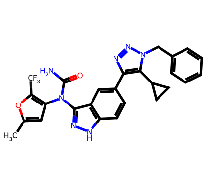 Cc1cc(N(C(N)=O)c2n[nH]c3ccc(-c4nnn(Cc5ccccc5)c4C4CC4)cc23)c(C(F)(F)F)o1